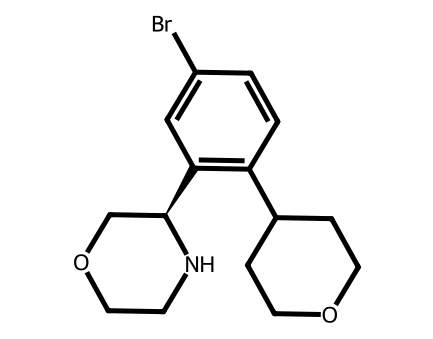 Brc1ccc(C2CCOCC2)c([C@@H]2COCCN2)c1